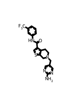 Nc1ncc(CN2CCc3c(C(=O)Nc4cccc(C(F)(F)F)c4)csc3C2)cn1